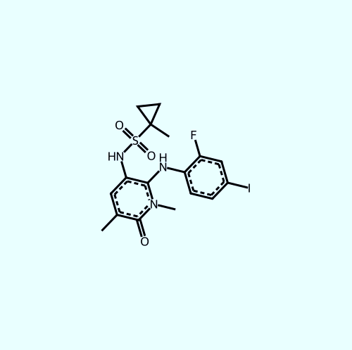 Cc1cc(NS(=O)(=O)C2(C)CC2)c(Nc2ccc(I)cc2F)n(C)c1=O